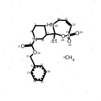 C.CCC1(C2CCCN(C(=O)OCc3ccccc3)C2)NCC=CS(=O)(=O)O1